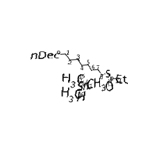 CCCCCCCCCCCCCCCCCCSC(=O)CC.[CH3][SnH]([CH3])[CH3]